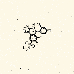 NS(=O)(=O)c1cc(-c2conc2O)c(Nc2ccc(I)cc2Cl)c(F)c1F